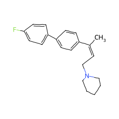 C/C(=C/CN1CCCCC1)c1ccc(-c2ccc(F)cc2)cc1